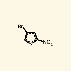 O=[N+]([O-])c1cc(Br)cs1